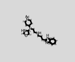 CC(=O)N1CCC(N(CCNCCCc2nc3ccccc3[nH]2)C2COCN2)CC1